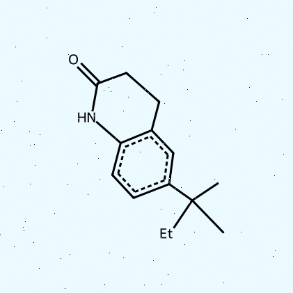 CCC(C)(C)c1ccc2c(c1)CCC(=O)N2